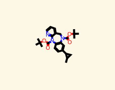 CC1CC1c1ccc2c(c1)N(C(=O)OC(C)(C)C)Cc1cccnc1N2C(=O)OC(C)(C)C